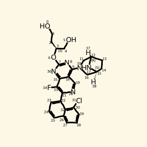 OCC[C@@H](CO)Oc1nc(N2C[C@H]3CC[C@@H](C2)N3)c2cnc(-c3cccc4cccc(Cl)c34)c(F)c2n1